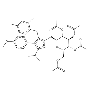 COc1ccc(-c2c(Cc3ccc(C)cc3C)c(O[C@@H]3O[C@H](COC(C)=O)[C@@H](OC(C)=O)[C@H](OC(C)=O)[C@H]3OC(C)=O)nn2C(C)C)cc1